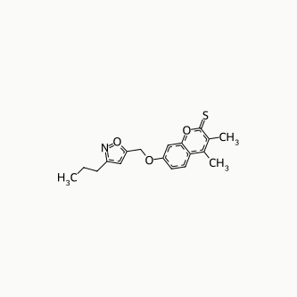 CCCc1cc(COc2ccc3c(C)c(C)c(=S)oc3c2)on1